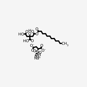 CCCCCCCCCCCC(=O)OC(=O)CC(O)(CC(=O)O)C(=O)O.O=C([O-])CC(C(=O)[O-])S(=O)(=O)O.[Na+].[Na+]